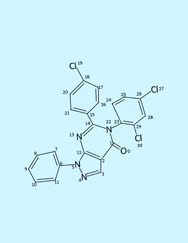 O=c1c2cnn(-c3ccccc3)c2nc(-c2ccc(Cl)cc2)n1-c1ccc(Cl)cc1Cl